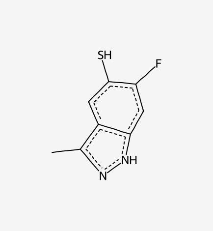 Cc1n[nH]c2cc(F)c(S)cc12